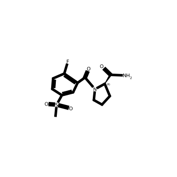 CS(=O)(=O)c1ccc(F)c(C(=O)N2CCC[C@@H]2C(N)=O)c1